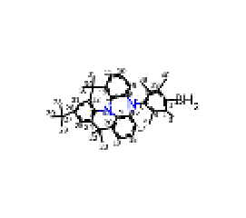 Bc1c(C)c(C)c(N2c3cccc4c3N3c5c2cccc5C(C)(C)c2cc(C(C)(C)C)cc(c23)C4(C)C)c(C)c1C